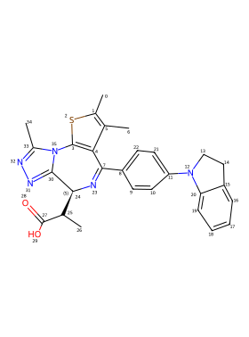 Cc1sc2c(c1C)C(c1ccc(N3CCc4ccccc43)cc1)=N[C@@H](C(C)C(=O)O)c1nnc(C)n1-2